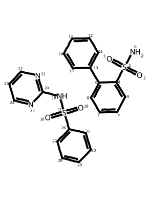 NS(=O)(=O)c1ccccc1-c1ccccc1.O=S(=O)(Nc1ncccn1)c1ccccc1